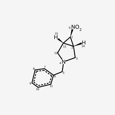 O=[N+]([O-])[C@H]1[C@@H]2CN(Cc3ccccc3)C[C@@H]21